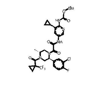 C[C@@H]1CN(C(=O)C(=O)Nc2cnc(NC(=O)OC(C)(C)C)c(C3CC3)c2)[C@@H](c2ccc(F)c(Cl)c2)CN1C(=O)C1(C(F)(F)F)CC1